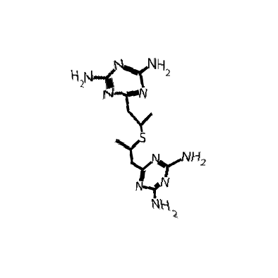 CC(Cc1nc(N)nc(N)n1)SC(C)Cc1nc(N)nc(N)n1